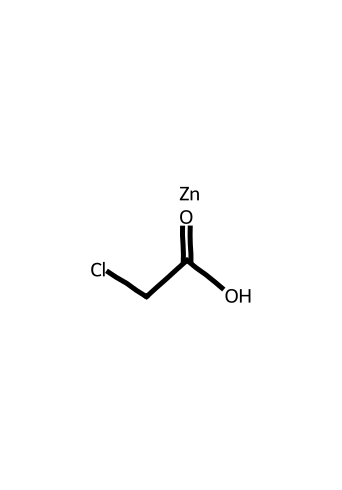 O=C(O)CCl.[Zn]